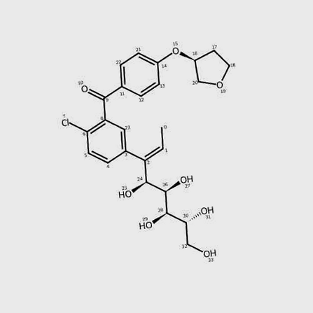 C/C=C(\c1ccc(Cl)c(C(=O)c2ccc(O[C@H]3CCOC3)cc2)c1)[C@H](O)[C@@H](O)[C@H](O)[C@H](O)CO